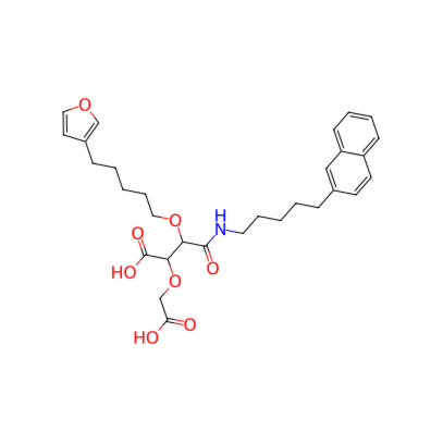 O=C(O)COC(C(=O)O)C(OCCCCCc1ccoc1)C(=O)NCCCCCc1ccc2ccccc2c1